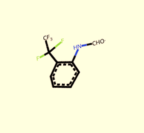 O=[C]Nc1ccccc1C(F)(F)C(F)(F)F